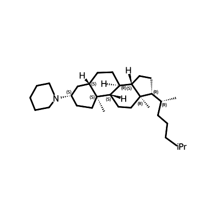 CC(C)CCC[C@@H](C)[C@H]1CC[C@H]2[C@@H]3CC[C@H]4C[C@@H](N5CCCCC5)CC[C@]4(C)[C@H]3CC[C@]12C